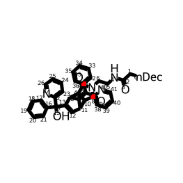 CCCCCCCCCCCC(=O)NCCN1C(=O)C2C3C=C(C(O)(c4ccccc4)c4ccccn4)C(C3=C(c3ccccc3)c3ccccn3)C2C1=O